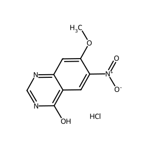 COc1cc2ncnc(O)c2cc1[N+](=O)[O-].Cl